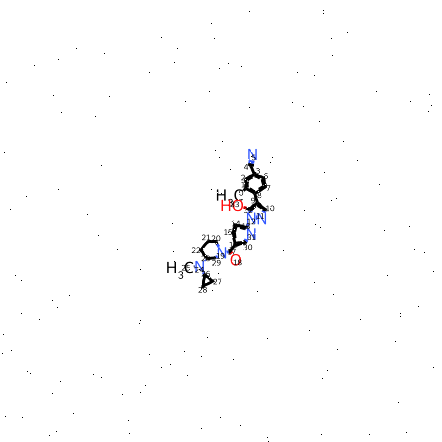 Cc1cc(C#N)ccc1-c1cnn(-c2ccc(C(=O)N3CCC[C@@H](N(C)C4CC4)C3)cn2)c1O